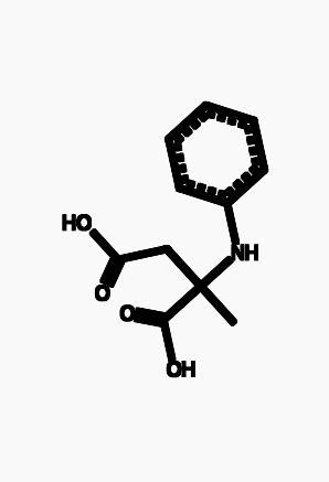 CC(CC(=O)O)(Nc1ccccc1)C(=O)O